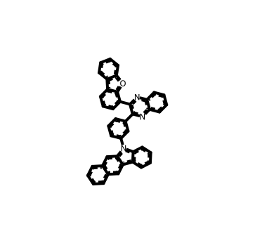 c1cc(-c2nc3ccccc3nc2-c2cccc3c2oc2ccccc23)cc(-n2c3ccccc3c3cc4ccccc4cc32)c1